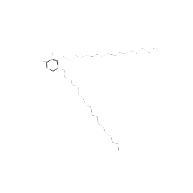 CCCCCCCCCCCCCCCCCCc1ccc(C)c(C)c1CCCCCCCCCCCCCCCCCC